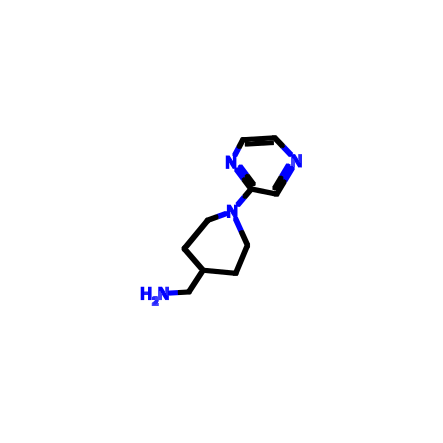 NCC1CCN(c2cnccn2)CC1